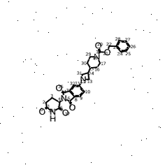 O=C1CCC(N2C(=O)c3ccc(N4CC(C5CCN(C(=O)OCc6ccccc6)CC5)C4)cc3C2=O)C(=O)N1